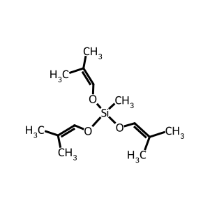 CC(C)=CO[Si](C)(OC=C(C)C)OC=C(C)C